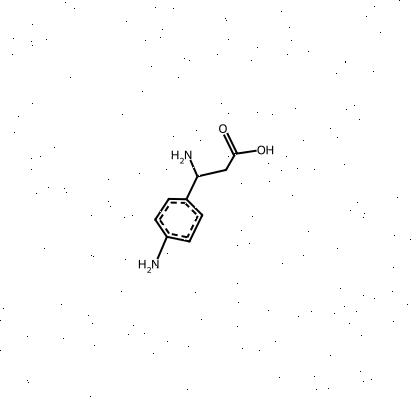 Nc1ccc(C(N)CC(=O)O)cc1